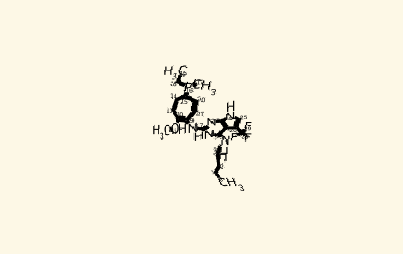 CCCCNC1NC(NC2=C(OC)C=CC(P(C)CC)C=C2)=Nc2[nH]cc(C(F)(F)F)c21